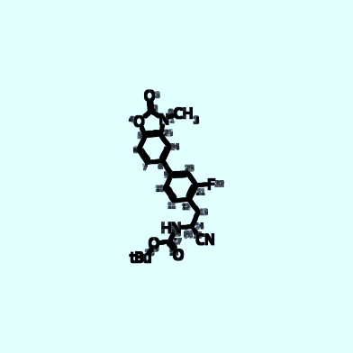 Cn1c(=O)oc2ccc(-c3ccc(C[C@@H](C#N)NC(=O)OC(C)(C)C)c(F)c3)cc21